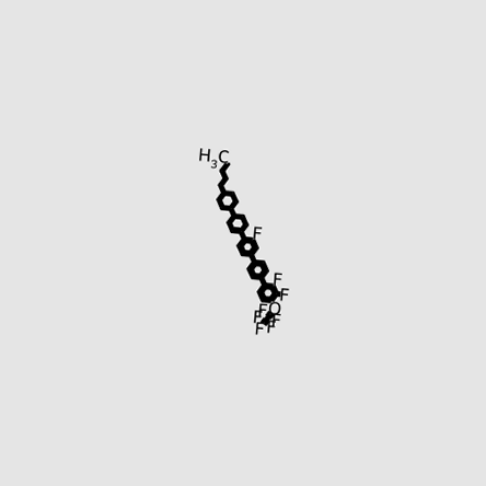 CCCCCC1CCC(C2CC=C(c3ccc(-c4ccc(-c5ccc(OC(F)(F)C(F)(F)F)c(F)c5F)cc4)cc3F)CC2)CC1